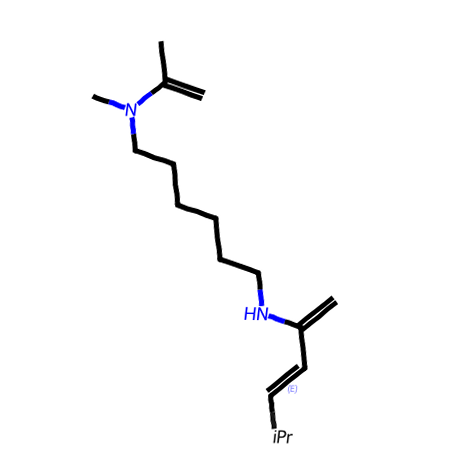 C=C(/C=C/C(C)C)NCCCCCCN(C)C(=C)C